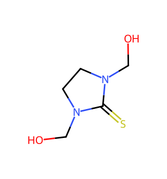 OCN1CCN(CO)C1=S